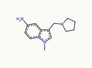 Cn1cc(CN2CCCC2)c2cc(N)ccc21